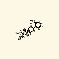 Cc1nc(S(=O)(=O)N2CCC(C3C=CCC=C3Cl)CC2)cn1C